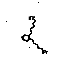 CC(C)CCCCCc1ccccc1CCCCCC(C)C